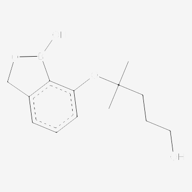 CC(C)(CCCO)Oc1cccc2c1B(O)OC2